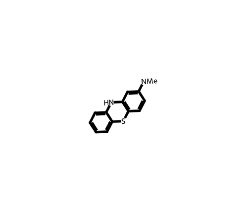 CNc1ccc2c(c1)Nc1ccccc1S2